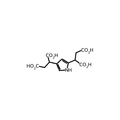 O=C(O)CC(C(=O)O)c1c[nH]c(C(CC(=O)O)C(=O)O)c1